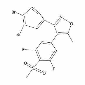 Cc1onc(-c2ccc(Br)c(Br)c2)c1-c1cc(F)c(S(C)(=O)=O)c(F)c1